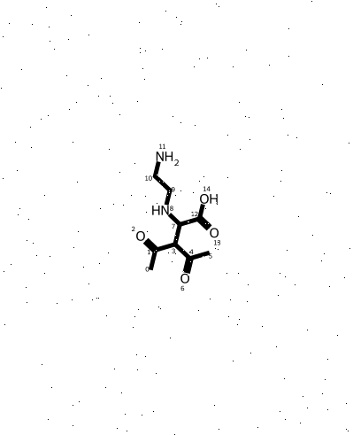 CC(=O)C(C(C)=O)C(NCCN)C(=O)O